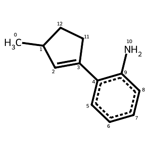 CC1C=C(c2ccccc2N)CC1